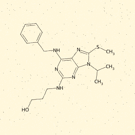 CSc1nc2c(NCc3ccccc3)nc(NCCCO)nc2n1C(C)C